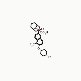 CCC(c1ccc2c(C(F)(F)F)c(O[C@H]3CC[C@@H](CC)CC3)ccc2c1)N1C2CCCC1CC(C(=O)O)C2